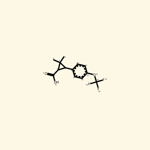 CC1(C)C(C(=O)O)C1c1ccc(OC(F)(F)F)cc1